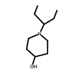 CCC(CC)N1CCC(O)CC1